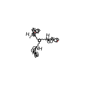 C=C(CC(=O)N(N)CCCCc1cc(CCCCNC(=O)CC(=O)N(C)C2(C)CC3CC4CC(C2)C4C3)cc(CCCCNC(=O)CC(=O)N(C)C23CC4CC5CC(C2)C5(C4)C3)c1)N(C)C12CC3CC4CC(C1)C4(C3)C2